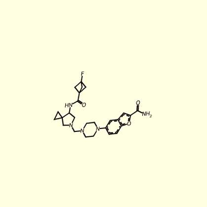 NC(=O)c1cc2cc(N3CCN(CN4CC(NC(=O)C56CC(F)(C5)C6)C5(CC5)C4)CC3)ccc2o1